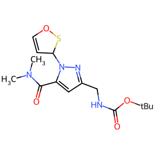 CN(C)C(=O)c1cc(CNC(=O)OC(C)(C)C)nn1C1C=COS1